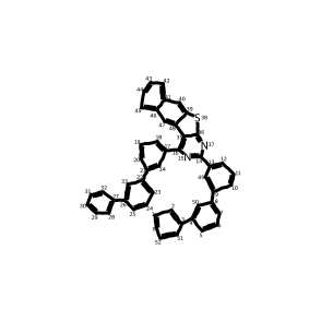 c1ccc(-c2cccc(-c3cccc(-c4nc(-c5cccc(-c6cccc(-c7ccccc7)c6)c5)c5c(n4)sc4cc6ccccc6cc45)c3)c2)cc1